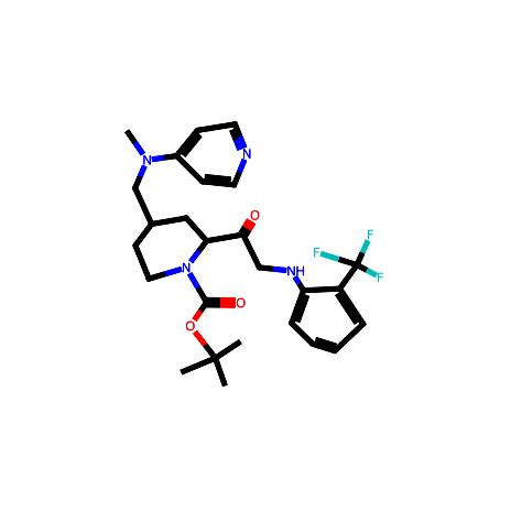 CN(CC1CCN(C(=O)OC(C)(C)C)C(C(=O)CNc2ccccc2C(F)(F)F)C1)c1ccncc1